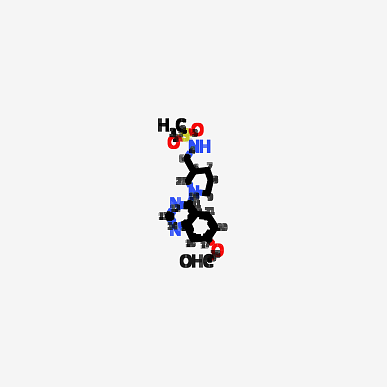 CS(=O)(=O)NCC1CCCN(c2ncnc3cc(OC=O)ccc23)C1